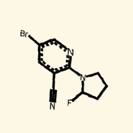 N#Cc1cc(Br)cnc1N1CCCC1F